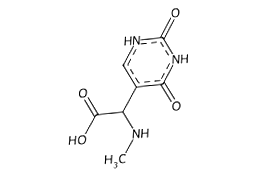 CNC(C(=O)O)c1c[nH]c(=O)[nH]c1=O